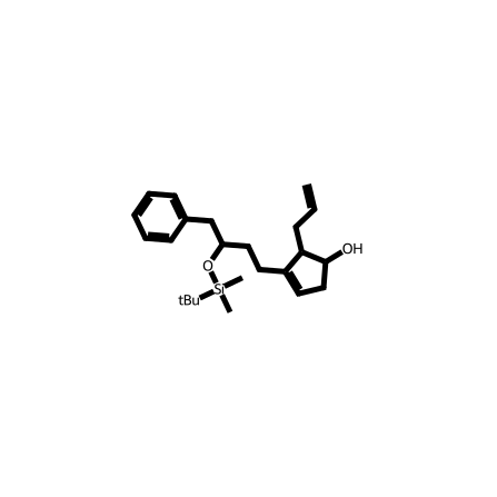 C=CCC1C(CCC(Cc2ccccc2)O[Si](C)(C)C(C)(C)C)=CCC1O